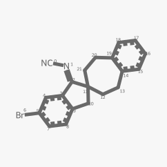 N#CN=C1c2cc(Br)ccc2CC12CCc1ccccc1CC2